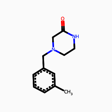 Cc1cccc(CN2CCNC(=O)C2)c1